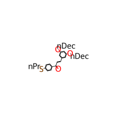 CCCCCCCCCCOc1cc(/C=C/C(=O)c2ccc(SCCC)cc2)cc(OCCCCCCCCCC)c1